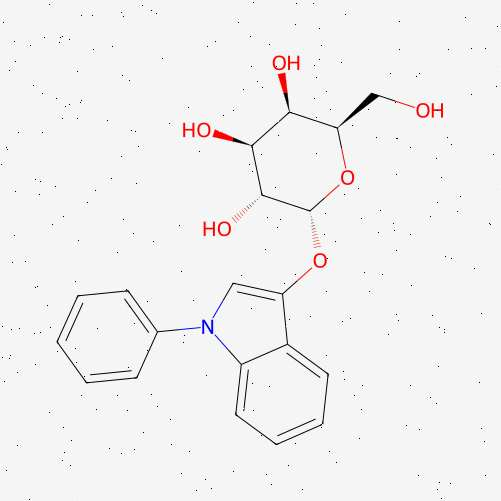 OC[C@H]1O[C@H](Oc2cn(-c3ccccc3)c3ccccc23)[C@H](O)[C@@H](O)[C@H]1O